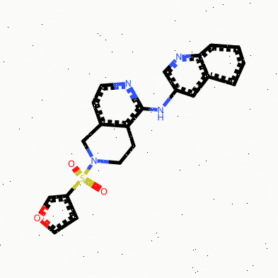 O=S(=O)(c1ccoc1)N1CCc2c(ccnc2Nc2cnc3ccccc3c2)C1